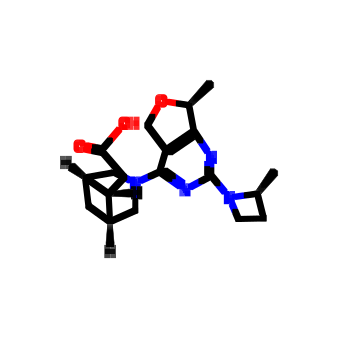 C[C@@H]1OCc2c1nc(N1CC[C@@H]1C)nc2N1C[C@H]2C[C@@H](C1)[C@H]2CC(=O)O